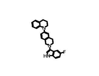 Fc1ccc2[nH]cc(N3CCc4cc(N5CCCc6ccccc65)ccc4C3)c2c1